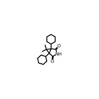 CC1(C)C2(C3CCCCC3)C(=O)NC(=O)C12C1CCCCC1